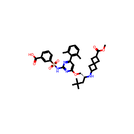 COC(=O)C1CC2(CC(N[C@@H](COc3cc(-c4c(C)cccc4C)nc(NS(=O)(=O)c4cccc(C(=O)O)c4)n3)CC(C)(C)C)C2)C1